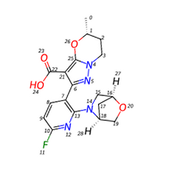 C[C@@H]1CCn2nc(-c3ccc(F)nc3N3C[C@@H]4C[C@H]3CO4)c(C(=O)O)c2O1